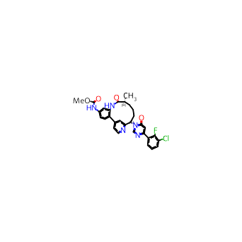 COC(=O)Nc1ccc2c(c1)NC(=O)[C@H](C)CCC[C@H](n1cnc(-c3cccc(Cl)c3F)cc1=O)c1cc-2ccn1